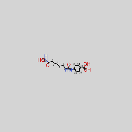 O=C(CCCCCCC(=O)Nc1ccc(C(O)O)cc1)NO